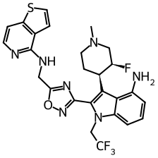 CN1CC[C@H](c2c(-c3noc(CNc4nccc5sccc45)n3)n(CC(F)(F)F)c3cccc(N)c23)[C@H](F)C1